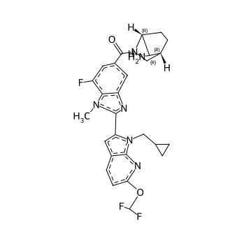 Cn1c(-c2cc3ccc(OC(F)F)nc3n2CC2CC2)nc2cc(C(=O)N3C[C@H]4CC[C@@H]3[C@@H]4N)cc(F)c21